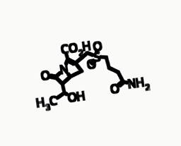 CC(O)C1C(=O)N2C(C(=O)O)=C(CS(=O)(=O)CCCC(N)=O)CC12